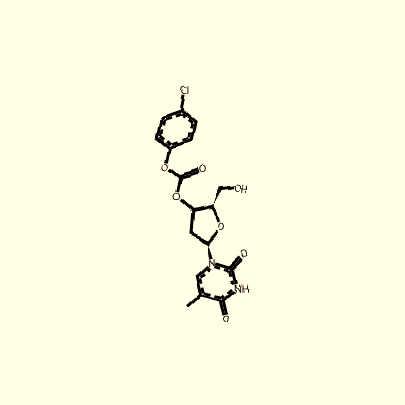 Cc1cn([C@H]2CC(OC(=O)Oc3ccc(Cl)cc3)[C@@H](CO)O2)c(=O)[nH]c1=O